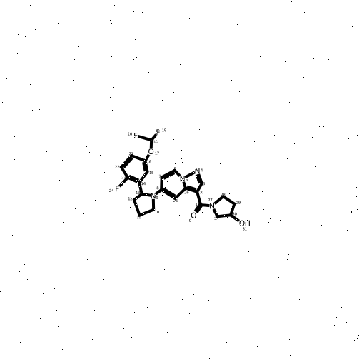 O=C(c1cnn2ccc(N3CCCC3c3cc(OC(F)F)ccc3F)cc12)N1CCC(O)C1